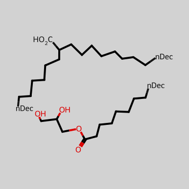 CCCCCCCCCCCCCCCCCC(=O)OCC(O)CO.CCCCCCCCCCCCCCCCCCC(CCCCCCCCCCCCCCCC)C(=O)O